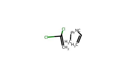 C=C(Cl)Cl.C=CC#N.CC(C)C